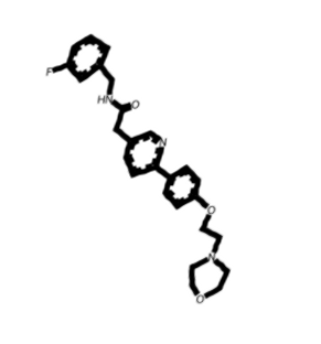 O=C(Cc1ccc(-c2ccc(OCCN3CCOCC3)cc2)nc1)NCc1cccc(F)c1